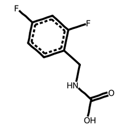 O=C(O)NCc1ccc(F)cc1F